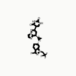 O=c1[nH]cc(-c2cc([C@H]3C[C@@H]3c3ccc4c(F)nn(CC(F)(F)F)c4c3)c3nccn3n2)c(=O)[nH]1